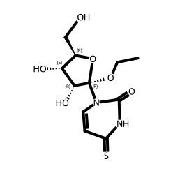 CCO[C@@]1(n2ccc(=S)[nH]c2=O)O[C@H](CO)[C@@H](O)[C@H]1O